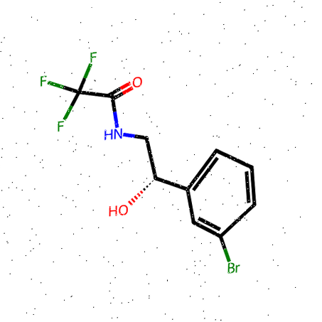 O=C(NC[C@@H](O)c1cccc(Br)c1)C(F)(F)F